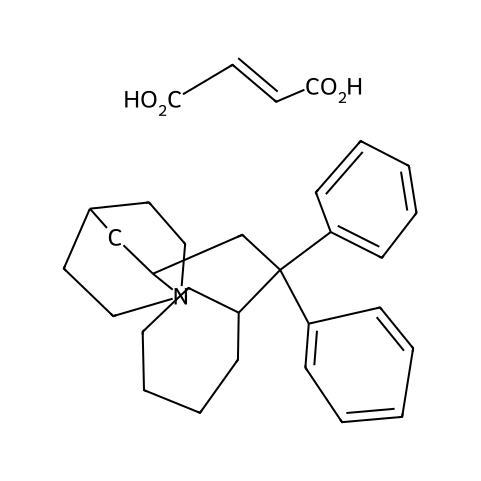 O=C(O)C=CC(=O)O.c1ccc(C(CC2CC3CCN2CC3)(c2ccccc2)C2CCCCC2)cc1